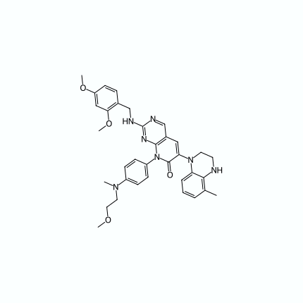 COCCN(C)c1ccc(-n2c(=O)c(N3CCNc4c(C)cccc43)cc3cnc(NCc4ccc(OC)cc4OC)nc32)cc1